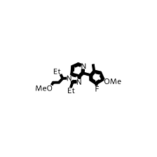 CCc1nc2c(-c3cc(F)c(OC)cc3C)nccc2n1C(CC)CCOC